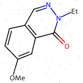 CCn1ncc2ccc(OC)cc2c1=O